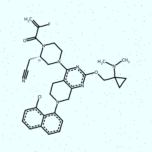 C=C(F)C(=O)N1CCN(c2nc(OCC3(N(C)C)CC3)nc3c2CCN(c2cccc4cccc(Cl)c24)C3)C[C@@H]1CC#N